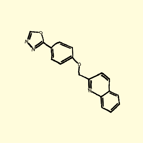 c1ccc2nc(COc3ccc(-c4nnco4)cc3)ccc2c1